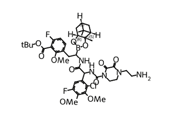 COc1c(F)cc(C(NC(=O)N2CCN(CCN)C(=O)C2=O)C(=O)NC(Cc2ccc(F)c(C(=O)OC(C)(C)C)c2OC)B2O[C@@H]3C[C@@H]4C[C@@H](C4(C)C)[C@]3(C)O2)c(Cl)c1OC